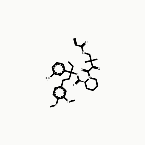 C=CC(=O)OCC(C)(C)C(=O)C(=O)N1CCCC[C@H]1C(=O)OC(CC)(CCc1ccc(OC)c(OC)c1)c1cccc(N)c1